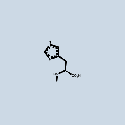 O=C(O)[C@H](Cc1c[nH]cn1)NF